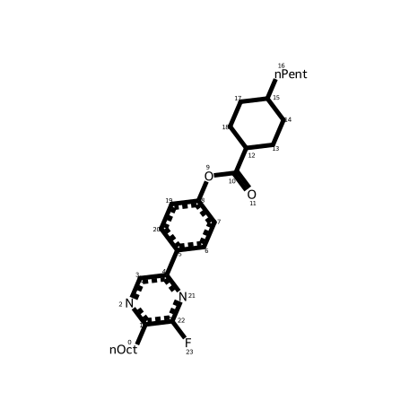 CCCCCCCCc1ncc(-c2ccc(OC(=O)C3CCC(CCCCC)CC3)cc2)nc1F